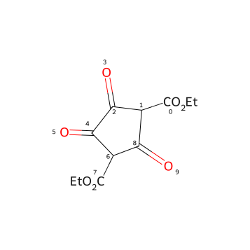 CCOC(=O)C1C(=O)C(=O)C(C(=O)OCC)C1=O